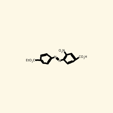 CCOC(=O)c1ccc(N=Nc2ccc(C(=O)O)cc2[N+](=O)[O-])cc1